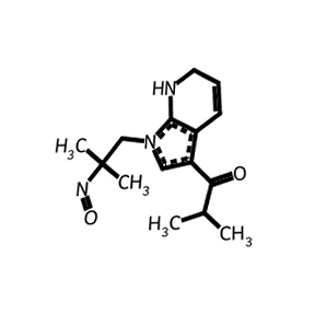 CC(C)C(=O)c1cn(CC(C)(C)N=O)c2c1C=CCN2